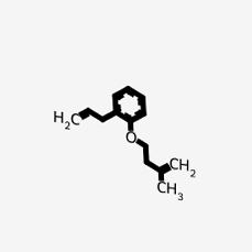 C=CCc1ccccc1OCCC(=C)C